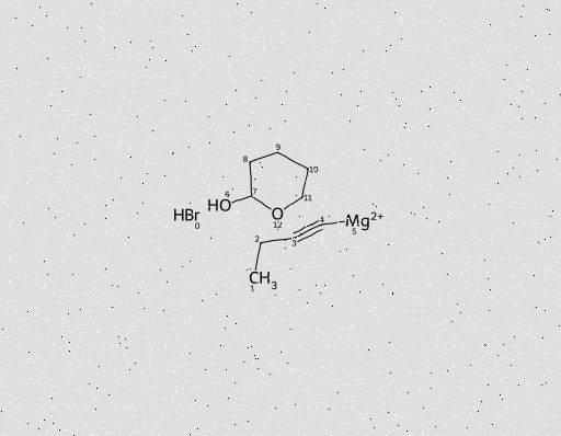 Br.CCC#[C][Mg+2].OC1CCCCO1